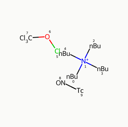 CCCC[N+](CCCC)(CCCC)CCCC.ClOC(Cl)(Cl)Cl.O=[N][Tc]